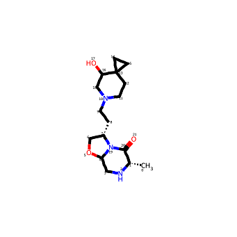 C[C@@H]1NCC2OC[C@H](CCN3CCC4(CC4)C(O)C3)N2C1=O